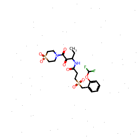 CCC(NC(=O)CCS(=O)(=O)Cc1ccccc1OC(F)F)C(=O)C(=O)N1CCS(=O)(=O)CC1